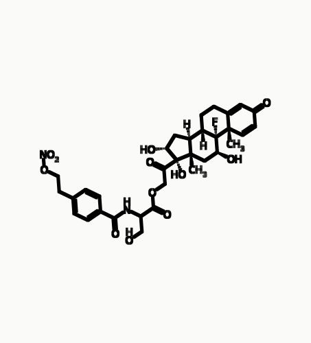 C[C@]12C=CC(=O)C=C1CC[C@H]1[C@@H]3C[C@@H](O)[C@](O)(C(=O)COC(=O)C(CO)NC(=O)c4ccc(CCO[N+](=O)[O-])cc4)[C@@]3(C)C[C@H](O)[C@@]12F